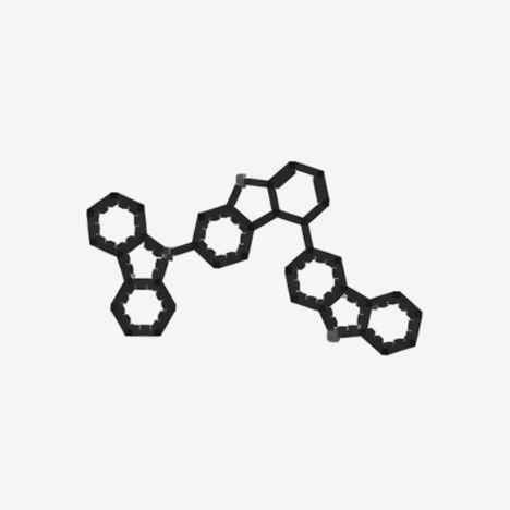 C1=CC(c2ccc3oc4ccccc4c3c2)C2C(=C1)Sc1cc(-n3c4ccccc4c4ccccc43)ccc12